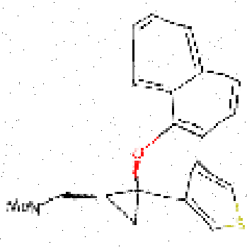 CNC[C@@H]1C[C@@]1(Oc1cccc2ccccc12)c1ccsc1